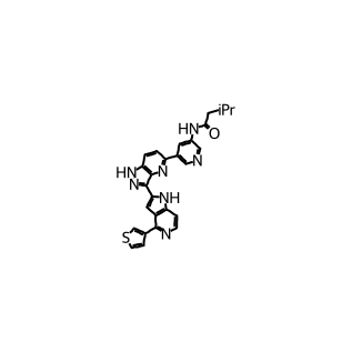 CC(C)CC(=O)Nc1cncc(-c2ccc3[nH]nc(-c4cc5c(-c6ccsc6)nccc5[nH]4)c3n2)c1